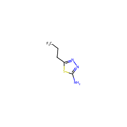 Nc1nnc(CCC(F)(F)F)s1